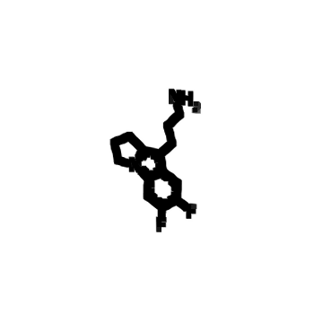 NCCCc1c2n(c3cc(F)c(F)cc13)CCC2